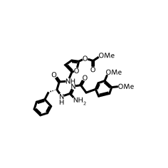 COC(=O)Oc1ccc(NC(=O)[C@@H](Cc2ccccc2)NC(N)=NC(=O)Cc2ccc(OC)c(OC)c2)o1